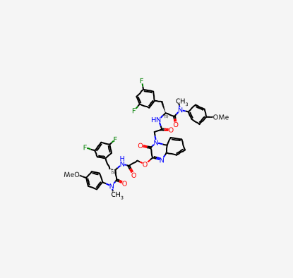 COc1ccc(N(C)C(=O)[C@H](Cc2cc(F)cc(F)c2)NC(=O)COC2=NC3C=CC=CC3N(CC(=O)N[C@@H](Cc3cc(F)cc(F)c3)C(=O)N(C)c3ccc(OC)cc3)C2=O)cc1